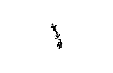 C=C[Si](C=C)(C=C)C[Si](C)(C)CCCCOC(=O)OCCCC[Si](C)(C)C[Si](C=C)(C=C)C=C